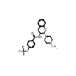 CN1CCN([C@H]2Oc3ccccc3C[C@@H]2NC(=O)c2ccc(OC(F)(F)F)cc2)CC1